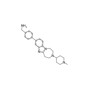 CN1CCC(N2CCc3nc4cc(-c5ccc(CN)cc5)ccc4n3CC2)CC1